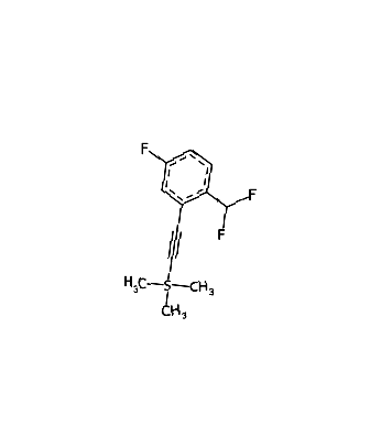 CS(C)(C)C#Cc1cc(F)ccc1C(F)F